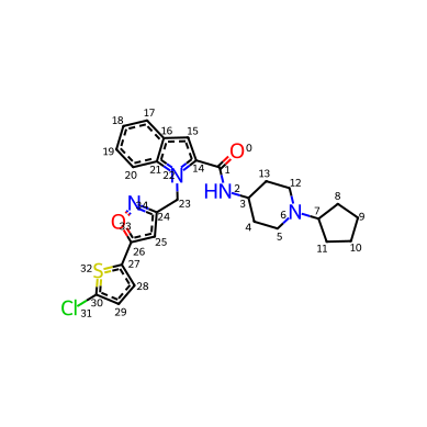 O=C(NC1CCN(C2CCCC2)CC1)c1cc2ccccc2n1Cc1cc(-c2ccc(Cl)s2)on1